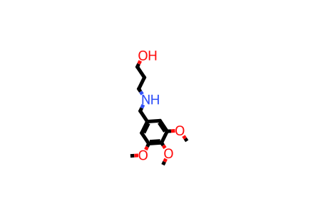 COc1cc(CNCCCO)cc(OC)c1OC